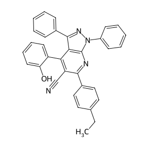 CCc1ccc(-c2nc3c(c(-c4ccccc4)nn3-c3ccccc3)c(-c3ccccc3O)c2C#N)cc1